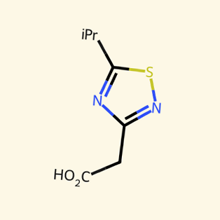 CC(C)c1nc(CC(=O)O)ns1